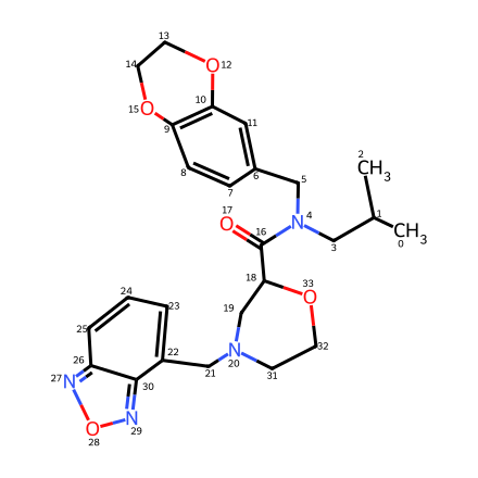 CC(C)CN(Cc1ccc2c(c1)OCCO2)C(=O)C1CN(Cc2cccc3nonc23)CCO1